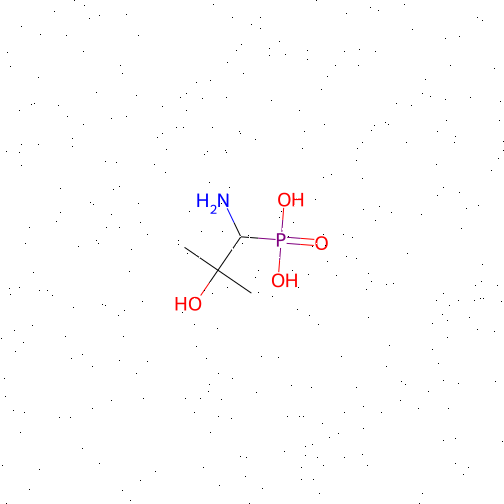 CC(C)(O)C(N)P(=O)(O)O